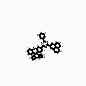 C1=Cc2cc(-c3nc(-c4ccccc4)nc(-c4ccc5c(c4)Sc4ccccc4C54c5ccccc5-c5ccccc54)n3)cc3cccc(c23)C1